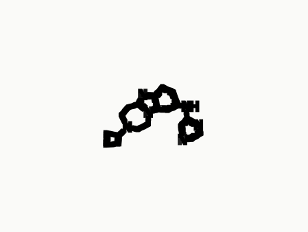 C1=CC(N2CCc3nc4ccc(Nc5cnccn5)cc4n3CC2)=C1